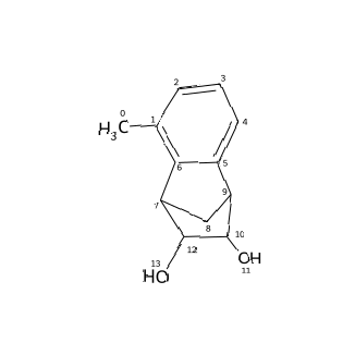 Cc1cccc2c1C1CC2C(O)C1O